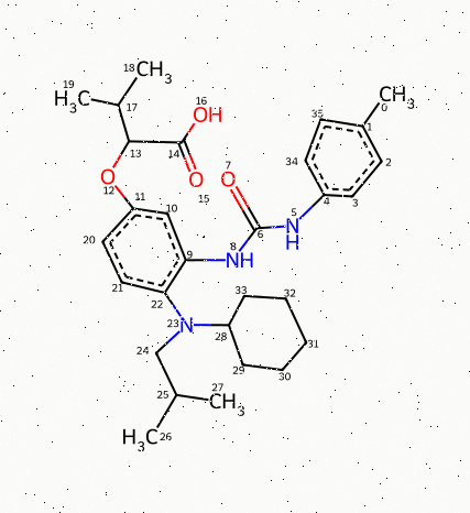 Cc1ccc(NC(=O)Nc2cc(OC(C(=O)O)C(C)C)ccc2N(CC(C)C)C2CCCCC2)cc1